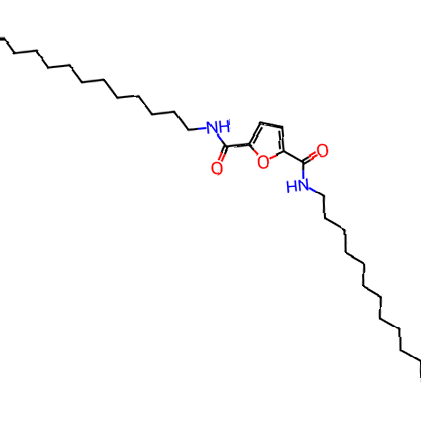 CCCCCCCCCCCCNC(=O)c1ccc(C(=O)NCCCCCCCCCCCC)o1